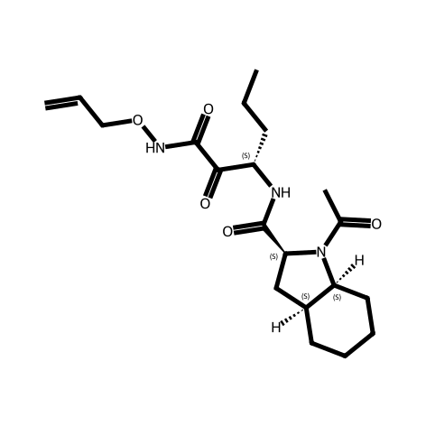 C=CCONC(=O)C(=O)[C@H](CCC)NC(=O)[C@@H]1C[C@@H]2CCCC[C@@H]2N1C(C)=O